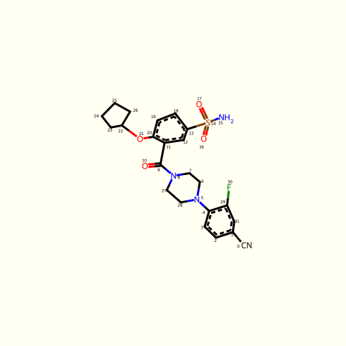 N#Cc1ccc(N2CCN(C(=O)c3cc(S(N)(=O)=O)ccc3OC3CCCC3)CC2)c(F)c1